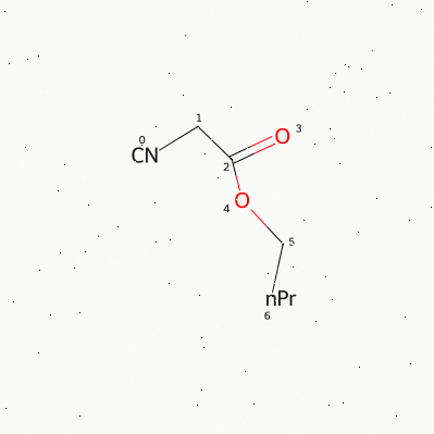 [C-]#[N+]CC(=O)OCCCC